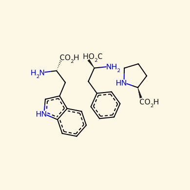 N[C@@H](Cc1c[nH]c2ccccc12)C(=O)O.N[C@@H](Cc1ccccc1)C(=O)O.O=C(O)[C@@H]1CCCN1